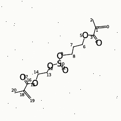 C=C(C)C(=O)OCCCOS(=O)OCCOC(=O)C(=C)C